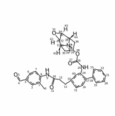 Cc1cc(C=O)ccc1NC(=O)CCc1ccc(-c2ccccc2)c(NC(=O)OC2C[C@@H]3[C@H]4O[C@H]4[C@H](C2)[N+]3(C)C)c1